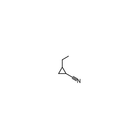 CCC1CC1C#N